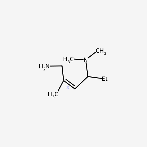 CCC(/C=C(/C)CN)N(C)C